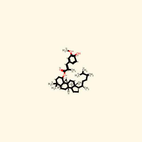 C=C(CC[C@@H](C)[C@H]1CC[C@@]2(C)[C@@H]3CC[C@H]4C(C)(C)CCC(OC(=O)/C(C)=C/c5ccc(O)c(OC)c5)[C@@]45C[C@@]35CC[C@]12C)C(C)C